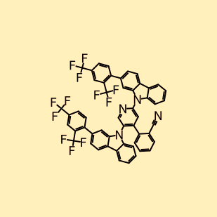 N#Cc1ccccc1-c1cc(-n2c3ccccc3c3ccc(-c4ccc(C(F)(F)F)cc4C(F)(F)F)cc32)ncc1-n1c2ccccc2c2ccc(-c3ccc(C(F)(F)F)cc3C(F)(F)F)cc21